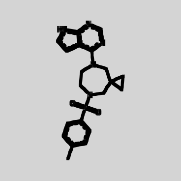 Cc1ccc(S(=O)(=O)N2CCN(c3ncnc4[nH]ccc34)CC3(CC3)C2)cc1